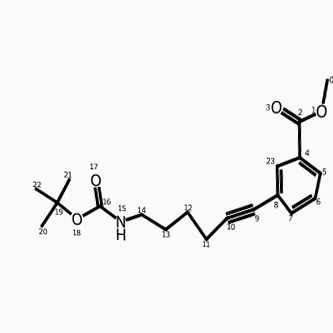 COC(=O)c1cccc(C#CCCCCNC(=O)OC(C)(C)C)c1